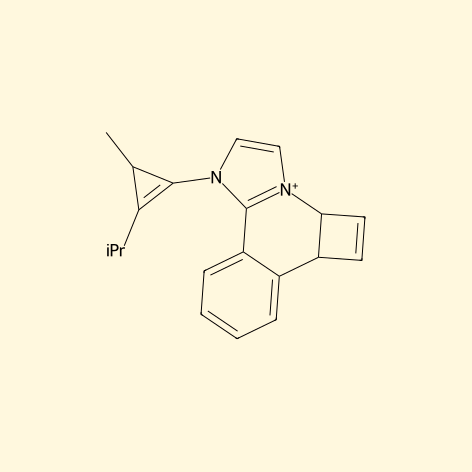 CC(C)C1=C(n2cc[n+]3c2-c2ccccc2C2C=CC23)C1C